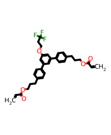 C=CC(=O)OCCCc1ccc(-c2cc(OCCC(F)(F)F)cc(-c3ccc(CCCOC(=O)C=C)cc3)c2)cc1